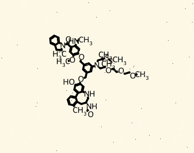 CNc1cc(OCc2cc(COc3cc4c(cc3O)-c3cccc(C)c3CC(NC=O)CN4)cc(N(CCOCCOCCOC)CC(C)(C)SSC)c2)c(OC)cc1C(=O)N1c2ccccc2C[C@H]1C